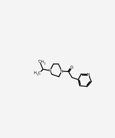 CC(C)N1CCN(C(=O)Cc2cccnc2)CC1